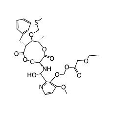 CCOCC(=O)OCOc1c(OC)ccnc1C(O)N[C@H]1COC(=O)[C@H](Cc2ccccc2)[C@@H](OCSC)[C@H](C)OC1=O